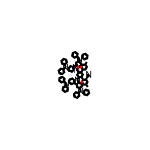 Cc1ccc(-c2cc(-c3ccc(C)cc3C#N)c(-n3c4ccc(N(c5ccccc5)c5ccccc5)cc4c4cc(N(c5ccccc5)c5ccccc5)ccc43)cc2-n2c3ccc(N(c4ccccc4)c4ccccc4)cc3c3cc(N(c4ccccc4)c4ccccc4)ccc32)c(C#N)c1